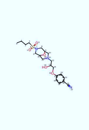 CCCCS(=O)(=O)N1CC2CN(CC(O)COc3ccc(C#N)cc3)CC(C1)O2